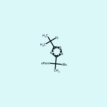 CCCCCC(C)(CCCC)c1nsc(C(C)(C)CC)n1